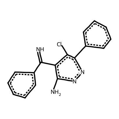 N=C(c1ccccc1)c1c(N)nnc(-c2ccccc2)c1Cl